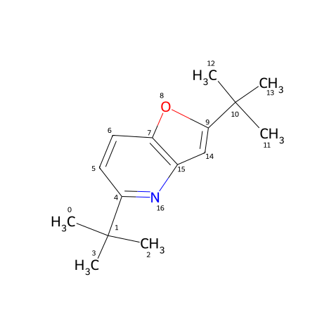 CC(C)(C)c1ccc2oc(C(C)(C)C)cc2n1